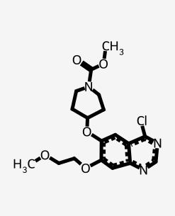 COCCOc1cc2ncnc(Cl)c2cc1OC1CCN(C(=O)OC)CC1